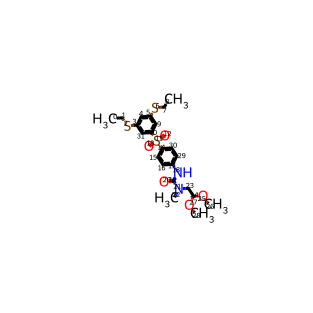 CCSc1cc(SCC)cc(S(=O)(=O)c2ccc(NC(=O)N(C)CC(OC)OC)cc2)c1